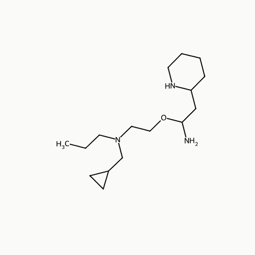 CCCN(CCOC(N)CC1CCCCN1)CC1CC1